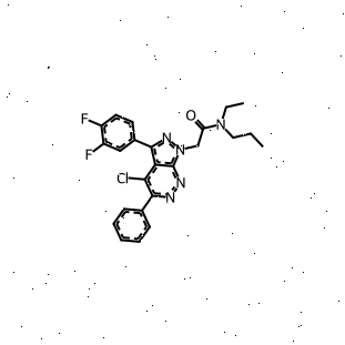 CCCN(CC)C(=O)Cn1nc(-c2ccc(F)c(F)c2)c2c(Cl)c(-c3ccccc3)nnc21